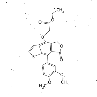 CCOC(=O)COc1c2c(c(-c3ccc(OC)c(OC)c3)c3sccc13)C(=O)OC2